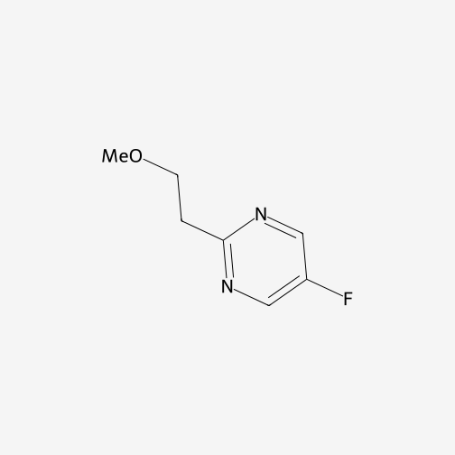 COCCc1ncc(F)cn1